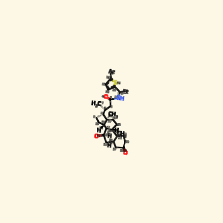 CC[C@@H](NC(=O)C[C@@H](C)[C@H]1CC[C@H]2[C@@H]3C(=O)C[C@@H]4CC(=O)CC[C@]4(C)[C@H]3CC[C@]12C)c1ccc(C(C)=O)s1